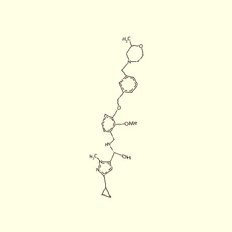 COc1c(CNC(O)c2cc(C3CC3)nn2C)cccc1OCc1cccc(CN2CCOC(C)C2)c1